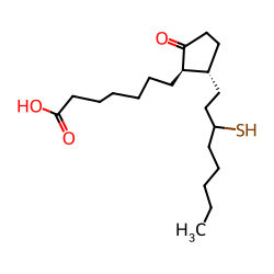 CCCCCC(S)CC[C@H]1CCC(=O)[C@@H]1CCCCCCC(=O)O